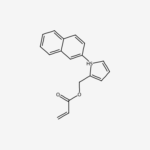 C=CC(=O)OCC1=CC=C[SH]1c1ccc2ccccc2c1